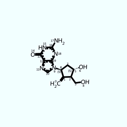 C=C1C(CO)[C@@H](O)C[C@@H]1n1cnc2c(=O)[nH]c(N)nc21